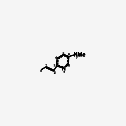 C/C=C/c1ccc(NC)cn1